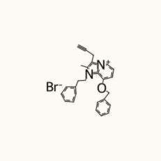 C#CCc1c(C)n(CCc2ccccc2)c2c(OCc3ccccc3)ccc[n+]12.[Br-]